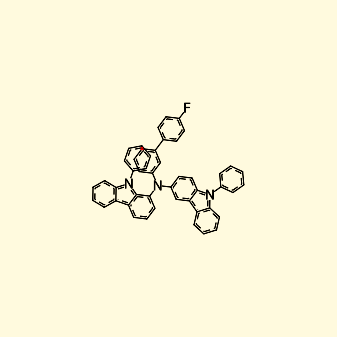 Fc1ccc(-c2cccc(N(c3ccc4c(c3)c3ccccc3n4-c3ccccc3)c3cccc4c5ccccc5n(-c5ccccc5)c34)c2)cc1